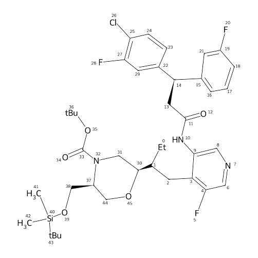 CCC(Cc1c(F)cncc1NC(=O)C[C@H](c1cccc(F)c1)c1ccc(Cl)c(F)c1)[C@@H]1CN(C(=O)OC(C)(C)C)[C@H](CO[Si](C)(C)C(C)(C)C)CO1